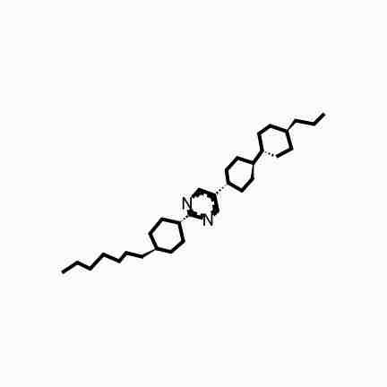 CCCCCCC[C@H]1CC[C@H](c2ncc([C@H]3CC[C@H]([C@H]4CC[C@H](CCC)CC4)CC3)cn2)CC1